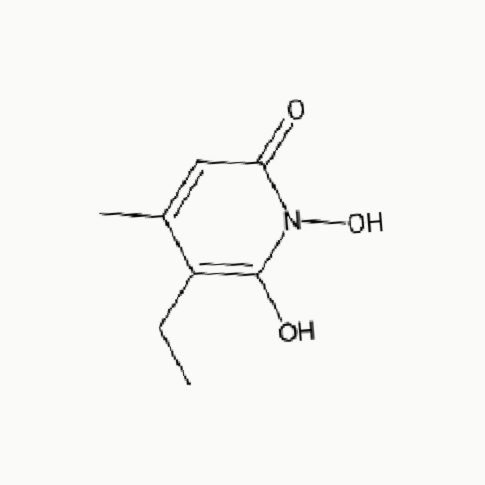 CCc1c(C)cc(=O)n(O)c1O